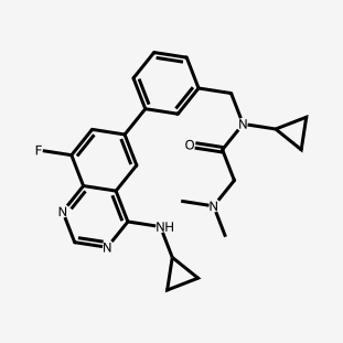 CN(C)CC(=O)N(Cc1cccc(-c2cc(F)c3ncnc(NC4CC4)c3c2)c1)C1CC1